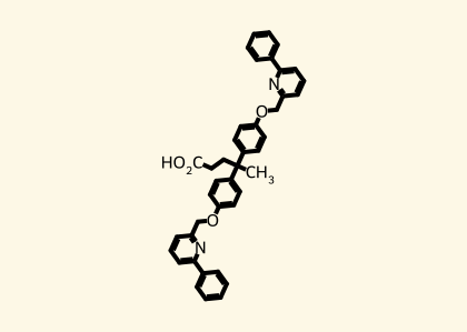 CC(CCC(=O)O)(c1ccc(OCc2cccc(-c3ccccc3)n2)cc1)c1ccc(OCc2cccc(-c3ccccc3)n2)cc1